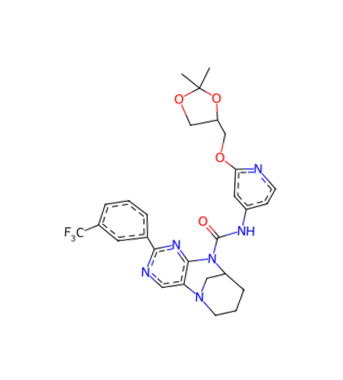 CC1(C)OCC(COc2cc(NC(=O)N3c4nc(-c5cccc(C(F)(F)F)c5)ncc4N4CCCC3C4)ccn2)O1